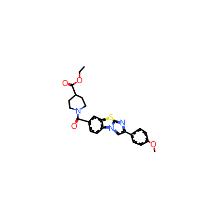 CCOC(=O)C1CCN(C(=O)c2ccc3c(c2)sc2nc(-c4ccc(OC)cc4)cn23)CC1